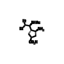 CCC(CC)[C@@H](NC(C)=O)[C@H]1C[C@H](C(=O)O)C[C@@H]1N